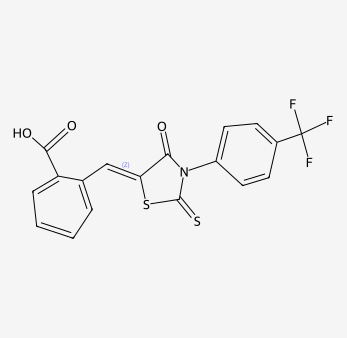 O=C(O)c1ccccc1/C=C1\SC(=S)N(c2ccc(C(F)(F)F)cc2)C1=O